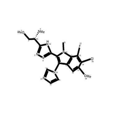 CN[C@@H](COC)c1nnc(-c2c(-n3ccnc3)c3cc(OC)c(Cl)c(F)c3n2C)[nH]1